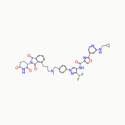 CN(CCCc1cccc2c1C(=O)N(C1CCC(=O)NC1=O)C2=O)Cc1ccc(-n2cc(NC(=O)c3coc(-c4ccnc(NCC5CC5)c4)n3)c(C(F)F)n2)cc1